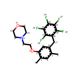 Cc1cc(C)c(OCCN2CCOCC2)cc1Cc1c(F)c(F)c(F)c(F)c1F